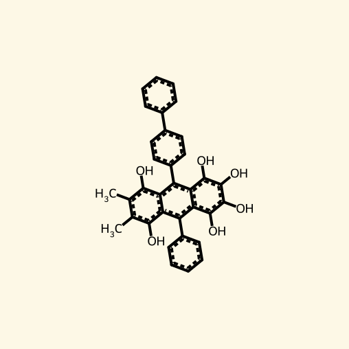 Cc1c(C)c(O)c2c(-c3ccc(-c4ccccc4)cc3)c3c(O)c(O)c(O)c(O)c3c(-c3ccccc3)c2c1O